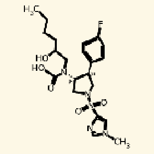 CCCCC(O)CN(C(=O)O)[C@H]1CN(S(=O)(=O)c2cn(C)cn2)C[C@@H]1c1ccc(F)cc1